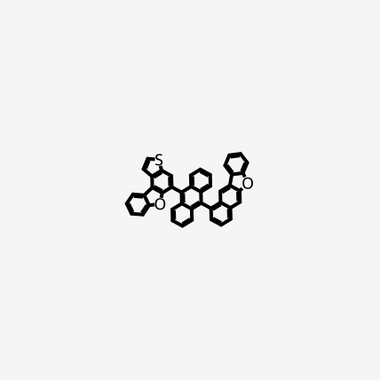 c1cc(-c2c3ccccc3c(-c3cc4sccc4c4c3oc3ccccc34)c3ccccc23)c2cc3c(cc2c1)oc1ccccc13